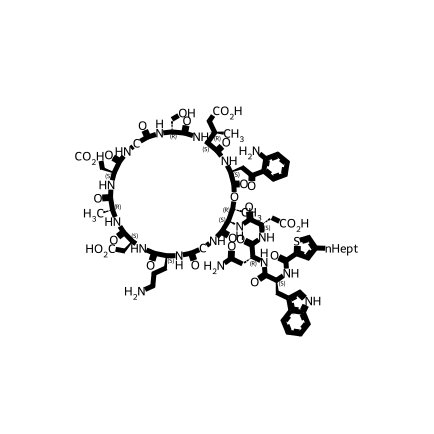 CCCCCCCc1csc(C(=O)N[C@@H](Cc2c[nH]c3ccccc23)C(=O)N[C@H](CC(N)=O)C(=O)N[C@@H](CC(=O)O)C(=O)N[C@@H]2C(=O)NCC(=O)N[C@@H](CCCN)C(=O)N[C@@H](CC(=O)O)C(=O)N[C@H](C)C(=O)N[C@@H](CC(=O)O)C(=O)NCC(=O)N[C@H](CO)C(=O)N[C@@H]([C@H](C)CC(=O)O)C(=O)N[C@@H](CC(=O)c3ccccc3N)C(=O)O[C@@H]2C)c1